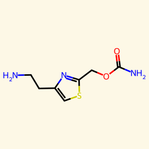 NCCc1csc(COC(N)=O)n1